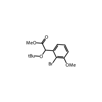 COC(=O)C(OC(C)(C)C)c1cccc(OC)c1Br